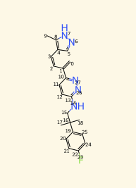 C=C(/C=C\c1cn[nH]c1C)c1ccc(NCC(C)(C)c2ccc(F)cc2)nn1